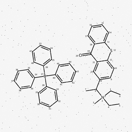 CC[N+](C)(CC)C(C)c1ccc2sc3ccccc3c(=O)c2c1.c1ccc([B-](c2ccccc2)(c2ccccc2)c2ccccc2)cc1